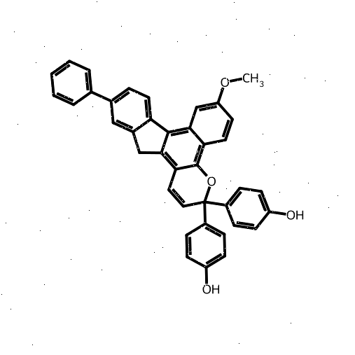 COc1ccc2c3c(c4c(c2c1)-c1ccc(-c2ccccc2)cc1C4)C=CC(c1ccc(O)cc1)(c1ccc(O)cc1)O3